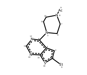 CCc1cc2c(N3CCN(C(C)=O)CC3)ncnc2s1